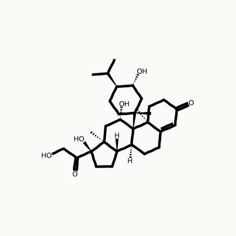 CC(C)[C@@H]1CC[C@@](C)([C@]23[C@@H](O)C[C@@]4(C)[C@@H](CC[C@]4(O)C(=O)CO)[C@@H]2CCC2=CC(=O)CC[C@@]23C)C[C@H]1O